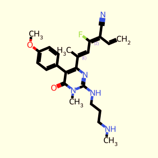 C=C/C(C#N)=C(F)\C=C(/C)c1nc(NCCCNC)n(C)c(=O)c1-c1ccc(OC)cc1